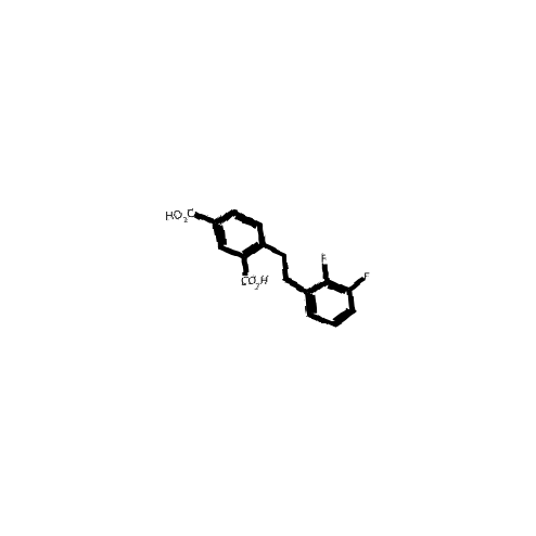 O=C(O)c1ccc(CCc2cccc(F)c2F)c(C(=O)O)c1